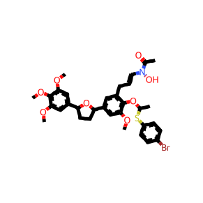 COc1cc(C2CCC(c3cc(OC)c(OC)c(OC)c3)O2)cc(CC=CN(O)C(C)=O)c1OC(C)Sc1ccc(Br)cc1